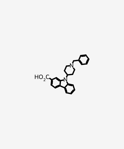 O=C(O)c1ccc2c3ccccc3n(C3CCN(Cc4ccccc4)CC3)c2c1